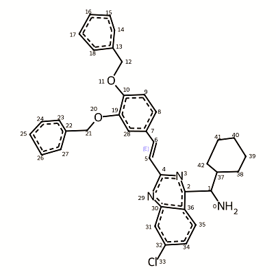 NC(c1nc(/C=C/c2ccc(OCc3ccccc3)c(OCc3ccccc3)c2)nc2cc(Cl)ccc12)C1CCCCC1